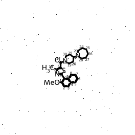 COc1ccc2ccccc2c1-c1nc(C)c(C(=O)N2CCC(N3CCCCCC3)CC2)s1